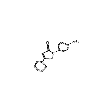 Cc1ccc(N2CC(c3ccccc3)=CC2=O)cc1